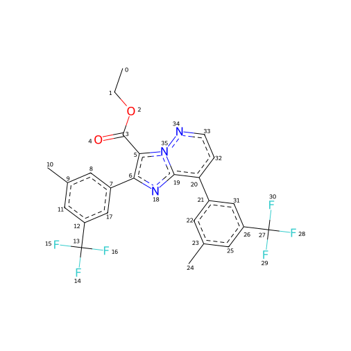 CCOC(=O)c1c(-c2cc(C)cc(C(F)(F)F)c2)nc2c(-c3cc(C)cc(C(F)(F)F)c3)ccnn12